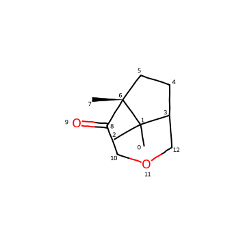 CC1(C)C2CC[C@@]1(C)C(=O)COC2